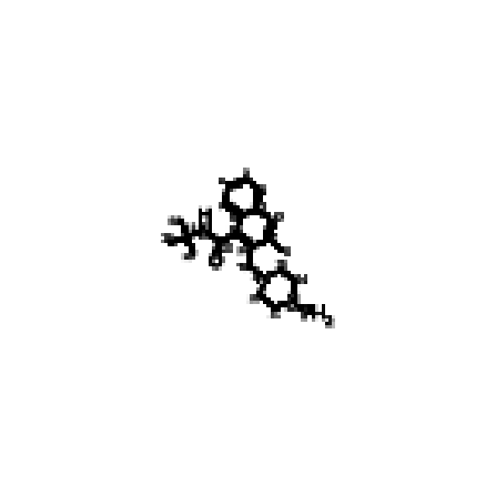 Cc1nc2ccccc2c(C(=O)NC(C)(C)C)c1CN1CCN(P)CC1